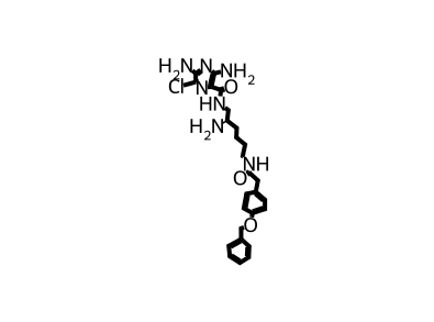 Nc1nc(N)c(C(=O)NC[C@@H](N)CCCCNC(=O)Cc2ccc(OCc3ccccc3)cc2)nc1Cl